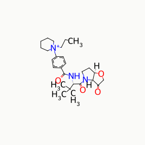 CCC[N+]1(c2ccc(C(=O)N[C@H](C(=O)N3CC[C@H]4OCC(=O)[C@H]43)C(C)(C)C)cc2)CCCCC1